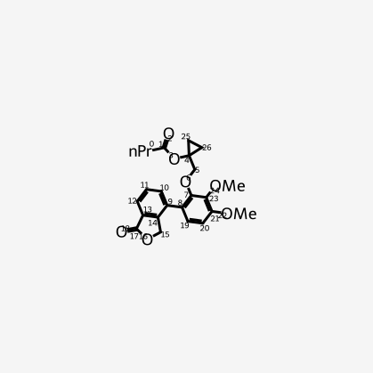 CCCC(=O)OC1(COc2c(-c3cccc4c3COC4=O)ccc(OC)c2OC)CC1